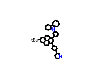 CC(C)(C)C1=Cc2ccc3c(-c4cccc(-n5c6c(c7c5CCC=CC7)C=CCC6)c4)cc(-c4ccc(-c5cccnc5)cc4)c4c3c2C(C=C4)C1